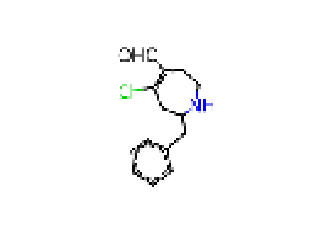 O=CC1=C(Cl)CC(Cc2ccccc2)NCC1